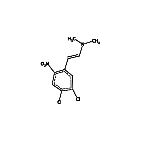 CN(C)C=Cc1cc(Cl)c(Cl)cc1[N+](=O)[O-]